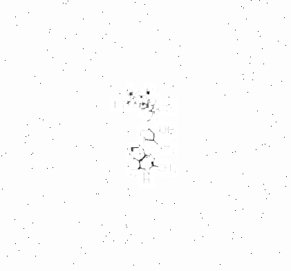 Cc1nc2c(ncn2[C@@H]2O[C@H](COP(=O)(O)OP(=O)(O)OP(=O)(O)O)[C@H](O)C2N)c(=O)[nH]1